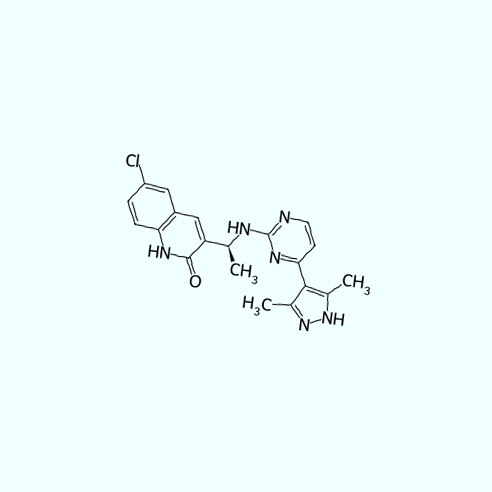 Cc1n[nH]c(C)c1-c1ccnc(N[C@@H](C)c2cc3cc(Cl)ccc3[nH]c2=O)n1